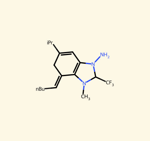 CCCCC=C1CC(C(C)C)=CC2=C1N(C)C(C(F)(F)F)N2N